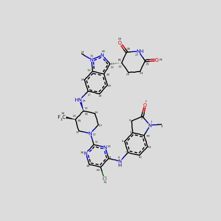 CN1C(=O)Cc2cc(Nc3nc(N4CC[C@H](Nc5ccc6c([C@H]7CCC(=O)NC7=O)nn(C)c6c5)[C@H](C(F)(F)F)C4)ncc3Cl)ccc21